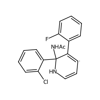 CC(=O)NC1(c2ccccc2Cl)NC=C[C]=C1c1ccccc1F